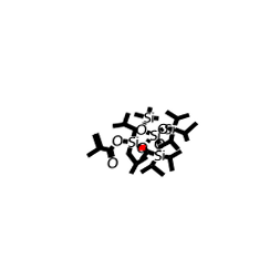 C=C(C)C(=O)O[Si](CC(C)C)(CC(C)C)O[Si](O[Si](C)(C)C)(O[Si](C(C)C)(C(C)C)C(C)C)O[Si](C(C)C)(C(C)C)C(C)C